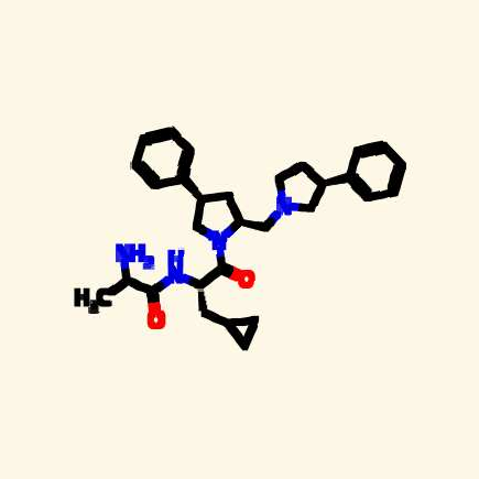 CC(N)C(=O)N[C@@H](CC1CC1)C(=O)N1C[C@@H](c2ccccc2)C[C@H]1CN1CC[C@@H](c2ccccc2)C1